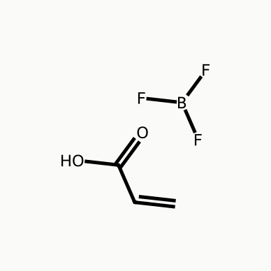 C=CC(=O)O.FB(F)F